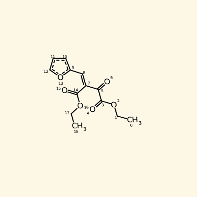 CCOC(=O)C(=O)C(=Cc1ccco1)C(=O)OCC